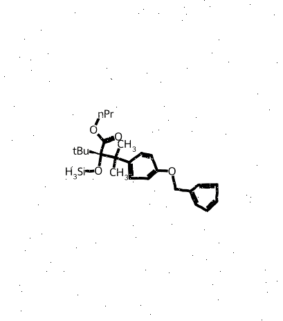 CCCOC(=O)[C@](O[SiH3])(C(C)(C)C)C(C)(C)c1ccc(OCc2ccccc2)cc1